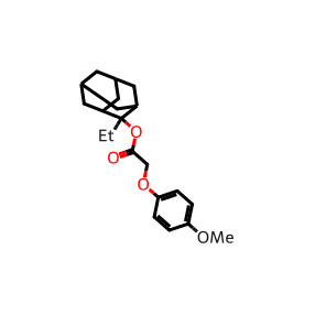 CCC1(OC(=O)COc2ccc(OC)cc2)C2CC3CC(C2)CC1C3